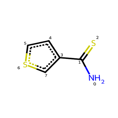 NC(=S)c1ccsc1